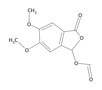 COc1cc2c(cc1OC)C(O[C]=O)OC2=O